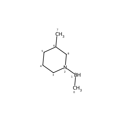 CBN1CCCC(C)C1